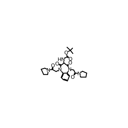 CC(C)(C)OC(=O)NC1C(=O)N(CC(=O)N2CCCC2)c2ccccc2N(CC(=O)N2CCCC2)C1=O